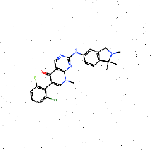 CN1Cc2cc(Nc3ncc4c(=O)c(-c5c(F)cccc5Cl)cn(C)c4n3)ccc2C1(C)C